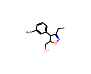 COc1cccc(C2C(CCl)=NOC2CO)c1